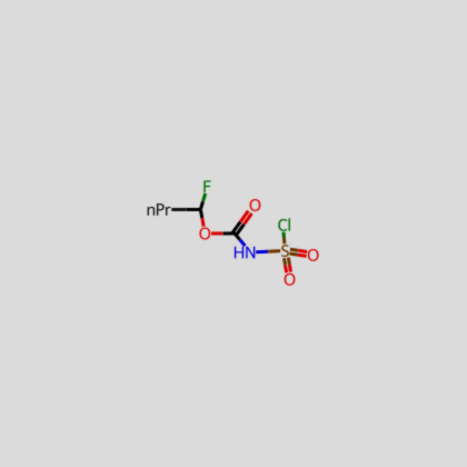 CCCC(F)OC(=O)NS(=O)(=O)Cl